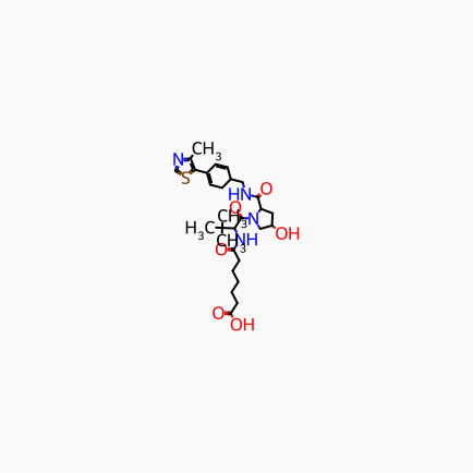 Cc1ncsc1C1=CCC(CNC(=O)C2CC(O)CN2C(=O)C(NC(=O)CCCCCC(=O)O)C(C)(C)C)C=C1